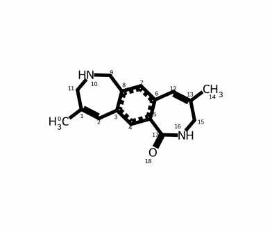 CC1=Cc2cc3c(cc2CNC1)C=C(C)CNC3=O